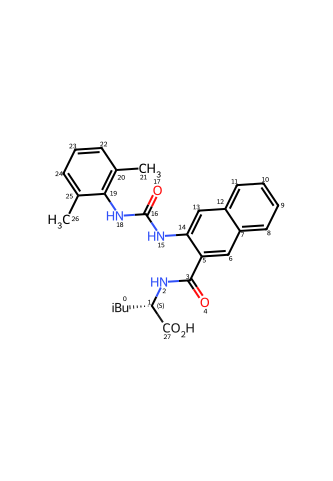 CCC(C)[C@H](NC(=O)c1cc2ccccc2cc1NC(=O)Nc1c(C)cccc1C)C(=O)O